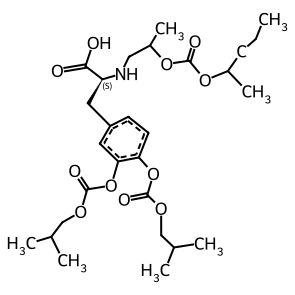 CCCC(C)OC(=O)OC(C)CN[C@@H](Cc1ccc(OC(=O)OCC(C)C)c(OC(=O)OCC(C)C)c1)C(=O)O